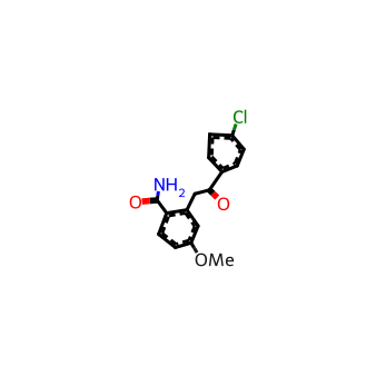 COc1ccc(C(N)=O)c(CC(=O)c2ccc(Cl)cc2)c1